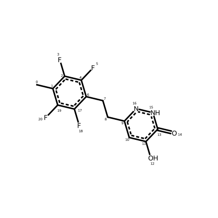 Cc1c(F)c(F)c(CCc2cc(O)c(=O)[nH]n2)c(F)c1F